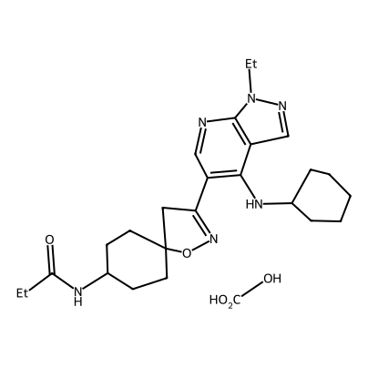 CCC(=O)NC1CCC2(CC1)CC(c1cnc3c(cnn3CC)c1NC1CCCCC1)=NO2.O=C(O)O